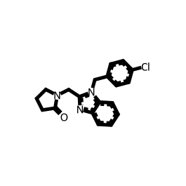 O=C1CCCN1Cc1nc2ccccc2n1Cc1ccc(Cl)cc1